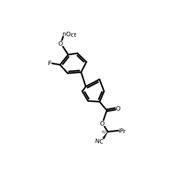 CCCCCCCCOc1ccc(-c2ccc(C(=O)O[C@H](C#N)C(C)C)cc2)cc1F